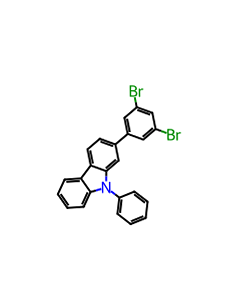 Brc1cc(Br)cc(-c2ccc3c4ccccc4n(-c4ccccc4)c3c2)c1